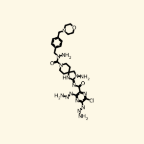 NN=Nc1nc(N=NN)c(C(=O)/N=C2/NC3(CCN(C(=O)N(N)Cc4ccc(CN5CCOCC5)cc4)CC3)CN2N)nc1Cl